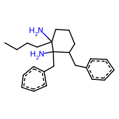 CCCCC1(N)CCCC(Cc2ccccc2)C1(N)Cc1ccccc1